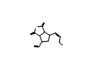 C=CC1CC(/C=C\COC(C)=O)C2C(=O)OC(=O)C12